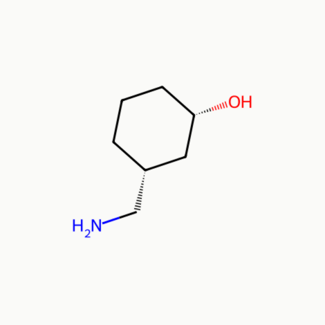 NC[C@@H]1CCC[C@H](O)C1